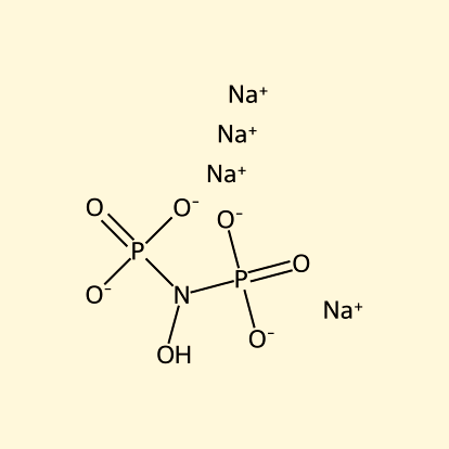 O=P([O-])([O-])N(O)P(=O)([O-])[O-].[Na+].[Na+].[Na+].[Na+]